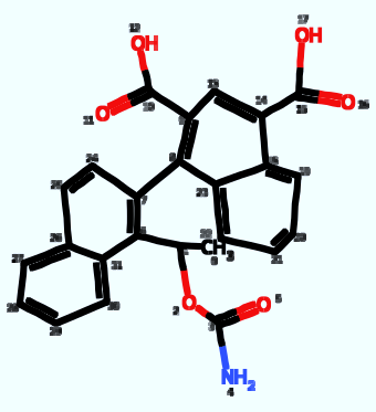 CC(OC(N)=O)c1c(-c2c(C(=O)O)cc(C(=O)O)c3ccccc23)ccc2ccccc12